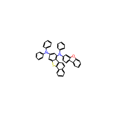 c1ccc(N(c2ccccc2)c2cc(N(c3ccccc3)c3ccc4c(c3)oc3ccccc34)c3c(c2)sc2c4ccccc4ccc23)cc1